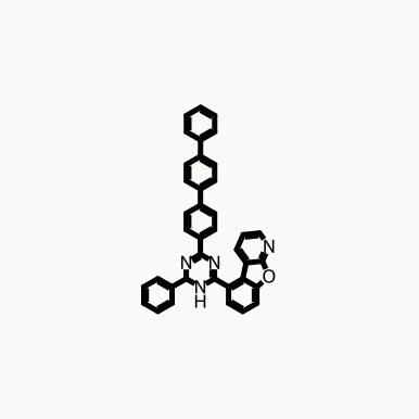 c1ccc(-c2ccc(-c3ccc(C4=NC(c5ccccc5)NC(c5cccc6oc7ncccc7c56)=N4)cc3)cc2)cc1